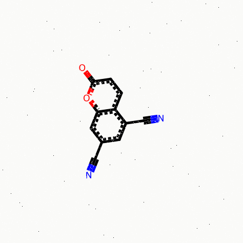 N#Cc1cc(C#N)c2ccc(=O)oc2c1